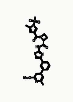 COc1cc(-c2cccc(-c3csc(NC(=O)[C@@H]4CCN4C(=O)c4cc(C)n(S(C)(=O)=O)c4)n3)c2)cc(C)n1